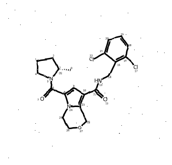 C[C@H]1CCCN1C(=O)c1cc(C(=O)NCc2c(Cl)cccc2Cl)c2n1CCOC2